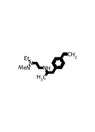 C=Cc1ccc(CC(C)NCCN(CC)NC)cc1